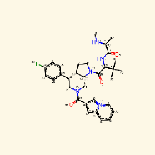 CN[C@@H](C)C(=O)N[C@H](C(=O)N1CCC[C@H]1CN(CCc1ccc(F)cc1)C(=O)c1cc2ccccn2c1)C(C)(C)C